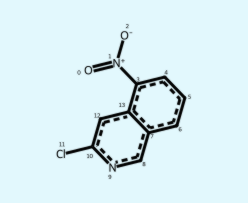 O=[N+]([O-])c1cccc2cnc(Cl)cc12